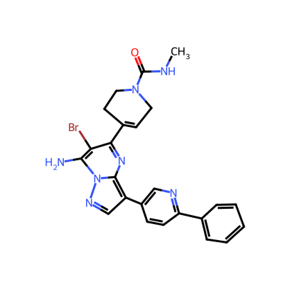 CNC(=O)N1CC=C(c2nc3c(-c4ccc(-c5ccccc5)nc4)cnn3c(N)c2Br)CC1